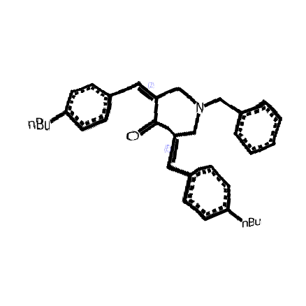 CCCCc1ccc(/C=C2/CN(Cc3ccccc3)C/C(=C\c3ccc(CCCC)cc3)C2=O)cc1